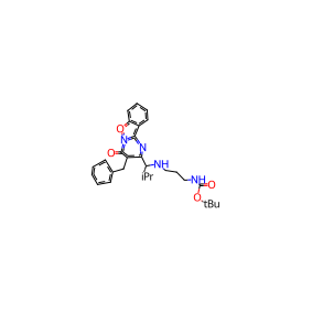 CC(C)C(NCCCNC(=O)OC(C)(C)C)c1nc2c3ccccc3on2c(=O)c1Cc1ccccc1